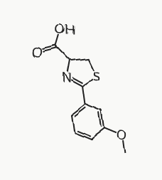 COc1cccc(C2=NC(C(=O)O)CS2)c1